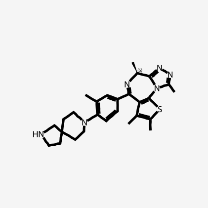 Cc1cc(C2=N[C@@H](C)c3nnc(C)n3-c3sc(C)c(C)c32)ccc1N1CCC2(CCNC2)CC1